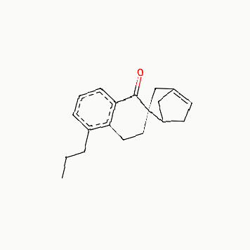 CCCc1cccc2c1CCC1(CC3=CCC1C3)C2=O